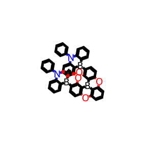 c1ccc(N2c3ccccc3B3c4ccc5c(c4Oc4cccc2c43)B2c3c(cccc3Oc3ccc4c(c32)Oc2cccc3c2B4c2ccccc2N3c2ccccc2)O5)cc1